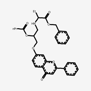 CCCC(=O)OC(CNC(CC)C(=O)OCc1ccccc1)COc1ccc2c(=O)cc(-c3ccccc3)oc2c1